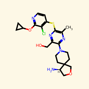 Cc1nc(N2CCC3(CC2)COC[C@H]3N)c(CO)nc1Sc1ccnc(OC2CC2)c1Cl